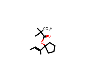 C/C=C(\C)C1(OC(=O)C(C)(C)C(=O)O)CCCC1